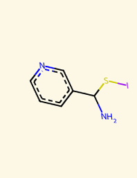 NC(SI)c1cccnc1